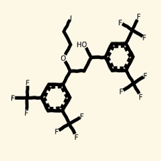 OC(CC(OCCI)c1cc(C(F)(F)F)cc(C(F)(F)F)c1)c1cc(C(F)(F)F)cc(C(F)(F)F)c1